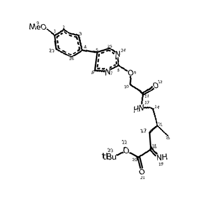 COc1ccc(-c2cnc(OCC(=O)NCC(C)CC(=N)C(=O)OC(C)(C)C)nc2)cc1